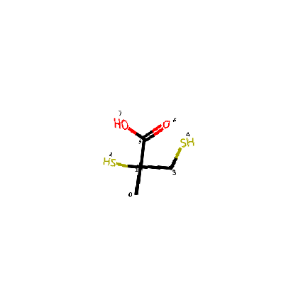 CC(S)(CS)C(=O)O